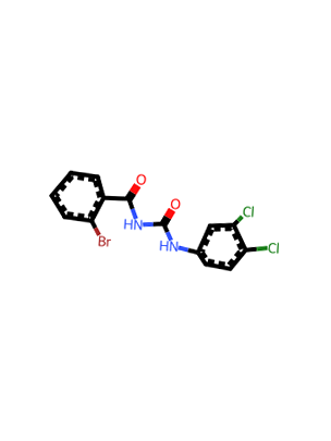 O=C(NC(=O)c1ccccc1Br)Nc1ccc(Cl)c(Cl)c1